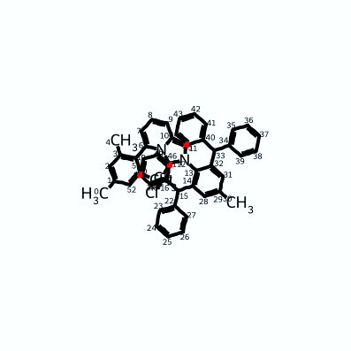 Cc1cc(C)c(C2=CC=CC3=CN(c4c(C(c5ccccc5)c5ccccc5)cc(C)cc4C(c4ccccc4)c4ccccc4)[CH]([Cu][Cl])N32)c(C)c1